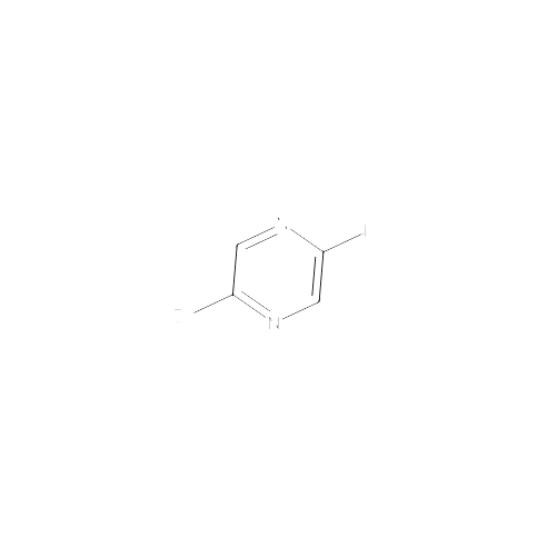 CCc1cnc(F)cn1